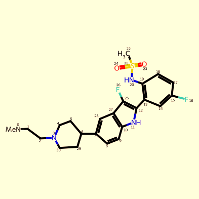 CNCCN1CCC(c2ccc3[nH]c(-c4cc(F)ccc4NS(C)(=O)=O)c(F)c3c2)CC1